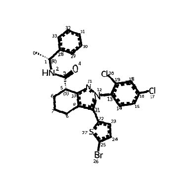 C[C@@H](NC(=O)[C@H]1CCCc2c1nn(-c1ccc(Cl)cc1Cl)c2-c1ccc(Br)s1)c1ccccc1